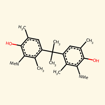 CNc1c(C)c(C(C)(C)c2cc(C)c(O)c(NC)c2C)cc(C)c1O